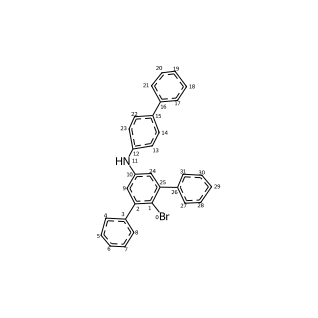 Brc1c(-c2ccccc2)cc(Nc2ccc(-c3ccccc3)cc2)cc1-c1ccccc1